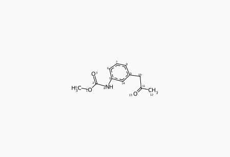 COC(=O)Nc1cccc(CC(C)=O)c1